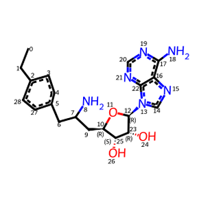 CCc1ccc(CC(N)C[C@H]2O[C@@H](n3cnc4c(N)ncnc43)[C@H](O)[C@@H]2O)cc1